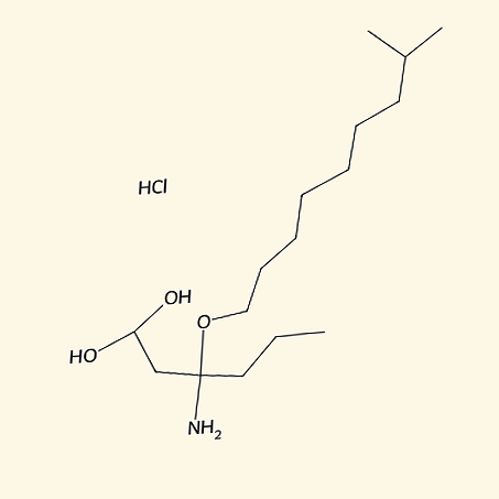 CCCC(N)(CC(O)O)OCCCCCCCC(C)C.Cl